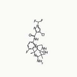 CC1(C)C(N)=N[C@](C)(c2nc(NC(=O)c3nn(C(F)F)cc3Cl)ccc2F)[C@@H]2CCNS21O